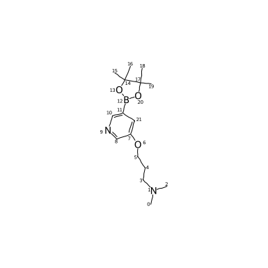 CN(C)CCCOc1cncc(B2OC(C)(C)C(C)(C)O2)c1